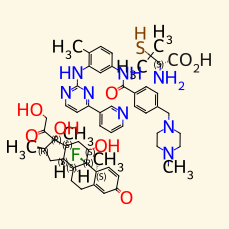 CC(C)(S)[C@@H](N)C(=O)O.C[C@@H]1C[C@H]2[C@@H]3CCC4=CC(=O)C=C[C@]4(C)[C@@]3(F)[C@@H](O)C[C@]2(C)[C@@]1(O)C(=O)CO.Cc1ccc(NC(=O)c2ccc(CN3CCN(C)CC3)cc2)cc1Nc1nccc(-c2cccnc2)n1